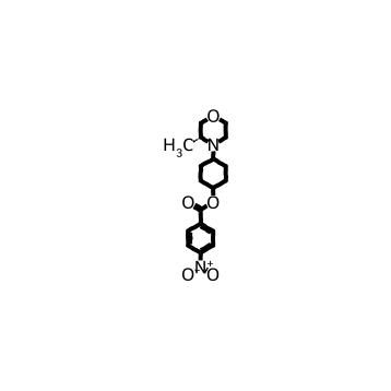 C[C@@H]1COCCN1C1CCC(OC(=O)c2ccc([N+](=O)[O-])cc2)CC1